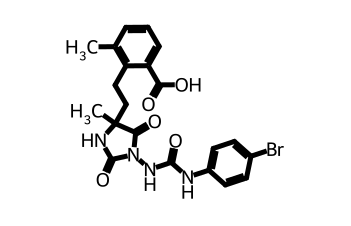 Cc1cccc(C(=O)O)c1CCC1(C)NC(=O)N(NC(=O)Nc2ccc(Br)cc2)C1=O